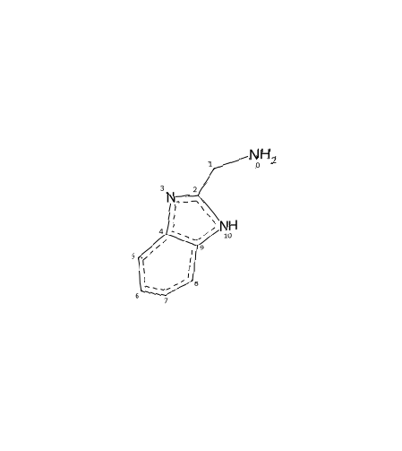 NCc1nc2[c]cccc2[nH]1